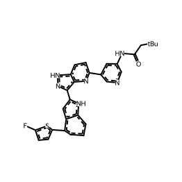 CC(C)(C)CC(=O)Nc1cncc(-c2ccc3[nH]nc(-c4cc5c(-c6ccc(F)s6)cccc5[nH]4)c3n2)c1